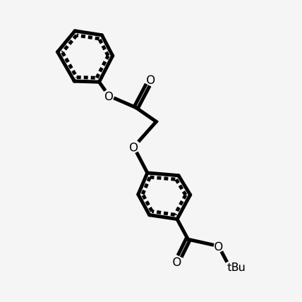 CC(C)(C)OC(=O)c1ccc(OCC(=O)Oc2ccccc2)cc1